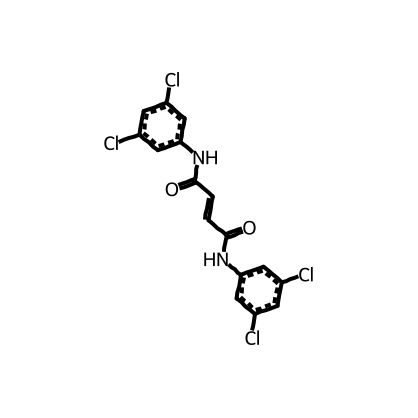 O=C(C=CC(=O)Nc1cc(Cl)cc(Cl)c1)Nc1cc(Cl)cc(Cl)c1